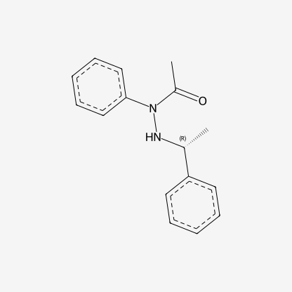 CC(=O)N(N[C@H](C)c1ccccc1)c1ccccc1